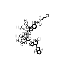 CCOC(=O)C(Cc1ccc(NC(=O)NCCCCl)cc1)(OC[C@H]1O[C@@H](n2ncc3c(N4C[C@H]5CCC[C@H]5C4)cc(Cl)nc32)[C@H](OC(C)=O)C12COC(C)(C)O2)C(=O)OCC